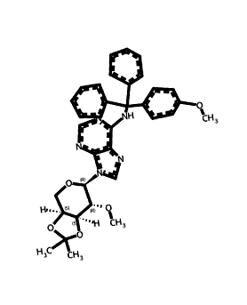 COc1ccc(C(Nc2ncnc3c2ncn3[C@@H]2OC[C@@H]3OC(C)(C)O[C@@H]3[C@H]2OC)(c2ccccc2)c2ccccc2)cc1